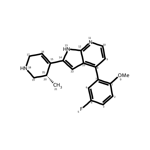 COc1ccc(F)cc1-c1ccnc2[nH]c(C3=CCNC[C@H]3C)cc12